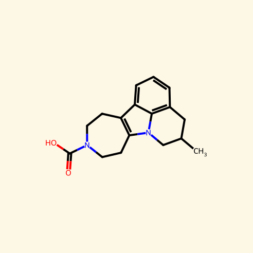 CC1Cc2cccc3c4c(n(c23)C1)CCN(C(=O)O)CC4